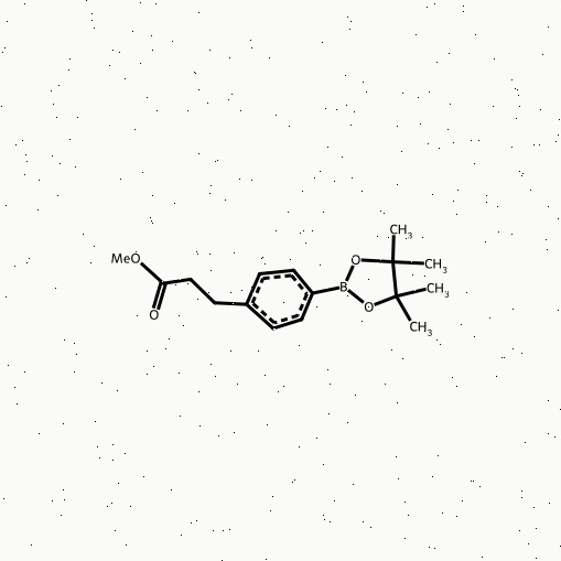 COC(=O)CCc1ccc(B2OC(C)(C)C(C)(C)O2)cc1